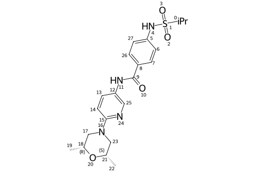 CC(C)S(=O)(=O)Nc1ccc(C(=O)Nc2ccc(N3C[C@@H](C)O[C@@H](C)C3)nc2)cc1